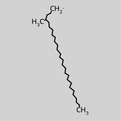 [CH2]CCC(C)CCCCCCCCCCCCCCCCCCCCCCCC